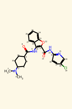 CN(C)C1CCC(C(=O)Nc2c(C(=O)Nc3ccc(Cl)cn3)oc3ccccc23)CC1